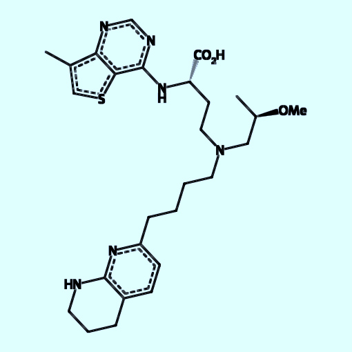 CO[C@H](C)CN(CCCCc1ccc2c(n1)NCCC2)CC[C@H](Nc1ncnc2c(C)csc12)C(=O)O